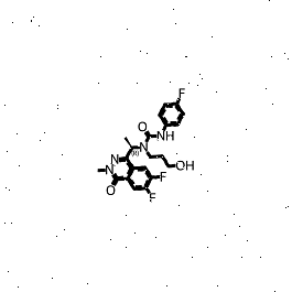 C[C@H](c1nn(C)c(=O)c2cc(F)c(F)cc12)N(CCCO)C(=O)Nc1ccc(F)cc1